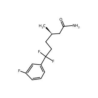 C[C@H](CCC(F)(F)c1cccc(F)c1)CC(N)=O